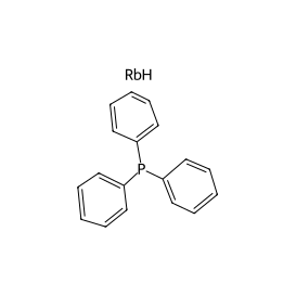 [RbH].c1ccc(P(c2ccccc2)c2ccccc2)cc1